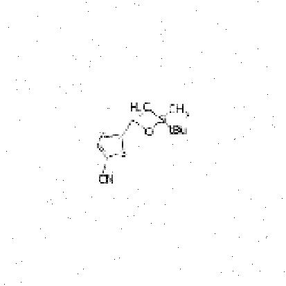 CC(C)(C)[Si](C)(C)OCc1ccc(C#N)s1